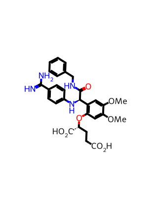 COc1cc(O[C@H](CCC(=O)O)C(=O)O)c([C@@H](Nc2ccc(C(=N)N)cc2)C(=O)NCc2ccccc2)cc1OC